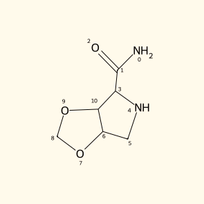 NC(=O)C1NCC2OCOC21